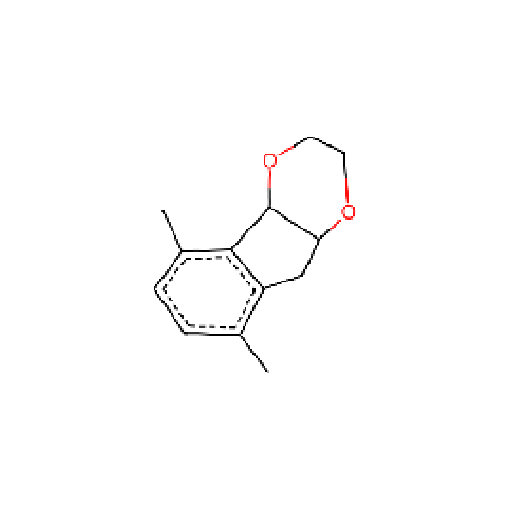 Cc1ccc(C)c2c1CC1OCCOC21